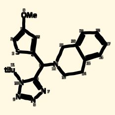 COc1csc(C(c2nnnn2C(C)(C)C)N2CCc3ccccc3C2)c1